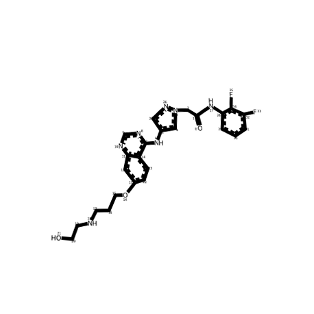 O=C(Cn1cc(Nc2ncnc3cc(OCCCNCCO)ccc23)cn1)Nc1cccc(F)c1F